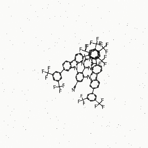 Cc1nc(C)nc(-c2c(-n3c4cc(-c5cc(C(F)(F)F)cc(C(F)(F)F)c5)ccc4c4ccc(-c5cc(C(F)(F)F)cc(C(F)(F)F)c5)cc43)cc(C#N)cc2-n2c3cc(-c4cc(C(F)(F)F)cc(C(F)(F)F)c4)ccc3c3ccc(-c4cc(C(F)(F)F)cc(C(F)(F)F)c4)cc32)n1